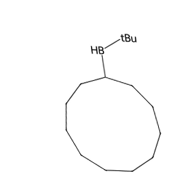 CC(C)(C)BC1CCCCCCCCCC1